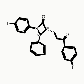 O=C(CC[C@H]1C(=O)N(c2ccc(F)cc2)[C@@H]1c1ccccc1)c1ccc(F)cc1